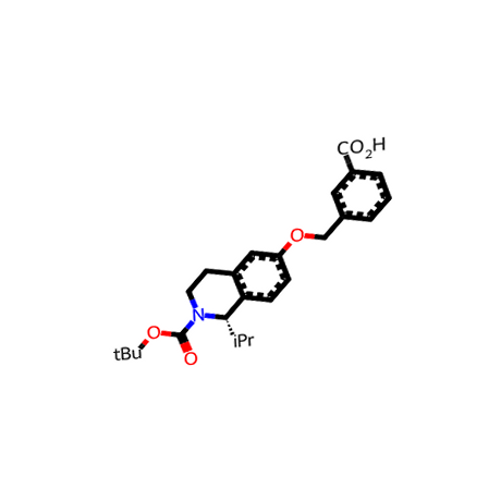 CC(C)[C@H]1c2ccc(OCc3cccc(C(=O)O)c3)cc2CCN1C(=O)OC(C)(C)C